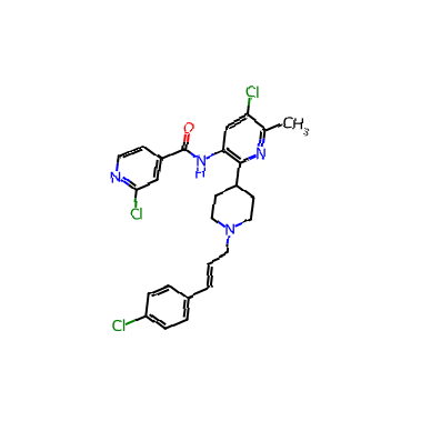 Cc1nc(C2CCN(C/C=C/c3ccc(Cl)cc3)CC2)c(NC(=O)c2ccnc(Cl)c2)cc1Cl